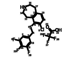 Fc1cc(CSc2c(Cl)ccc3c2CCNCC3)cc(F)c1F.O=C(O)C(F)(F)F